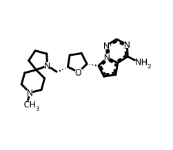 CN1CCC2(CCCN2C[C@@H]2CC[C@H](c3ccc4c(N)ncnn34)O2)CC1